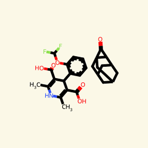 CC1=C(C(=O)O)C(c2ccccc2OC(F)F)C(C(=O)O)=C(C)N1.O=C1C2C3CC4CC(C3)CC12C4